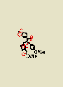 COC(=O)Cc1cccc(CC2=C(c3ccc4c(c3)OCO4)C(=O)OC2(O)c2ccc(OC)cc2)c1